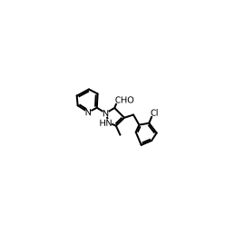 CC1=C(Cc2ccccc2Cl)C(C=O)N(c2ccccn2)N1